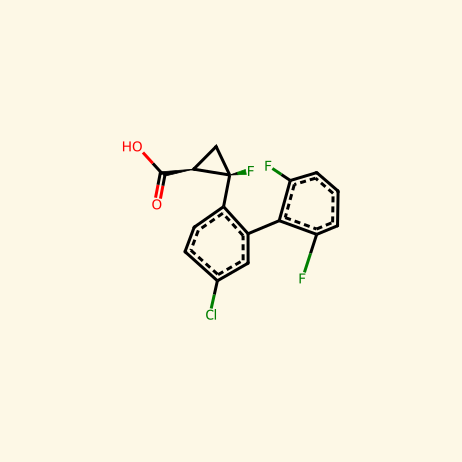 O=C(O)[C@H]1C[C@]1(F)c1ccc(Cl)cc1-c1c(F)cccc1F